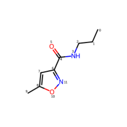 CCCNC(=O)c1cc(C)on1